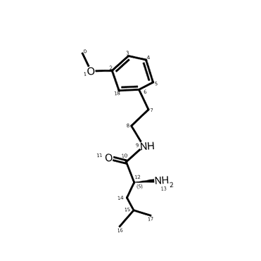 COc1cccc(CCNC(=O)[C@@H](N)CC(C)C)c1